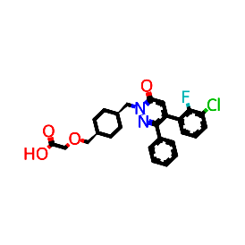 O=C(O)COC[C@H]1CC[C@@H](Cn2nc(-c3ccccc3)c(-c3cccc(Cl)c3F)cc2=O)CC1